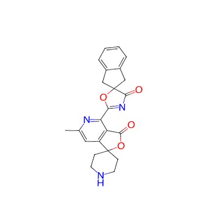 Cc1cc2c(c(C3=NC(=O)C4(Cc5ccccc5C4)O3)n1)C(=O)OC21CCNCC1